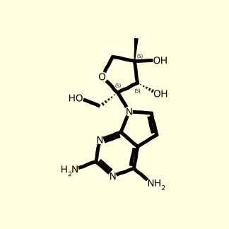 C[C@]1(O)CO[C@](CO)(n2ccc3c(N)nc(N)nc32)[C@H]1O